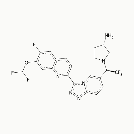 N[C@H]1CCN([C@H](c2ccc3nnc(-c4ccc5cc(F)c(OC(F)F)cc5n4)n3c2)C(F)(F)F)C1